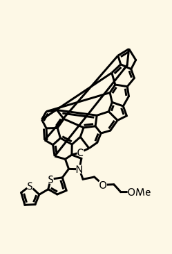 COCCOCCN1CC23CC4C=c5cc6cc7cc8cc9c%10c%11c%12c(c%13c%14c%15c(c5c5c6c7c6c8c%10c(c%12%14)c6c%155)C4C=%132)=C(CC=%11C9)C3C1c1ccc(-c2cccs2)s1